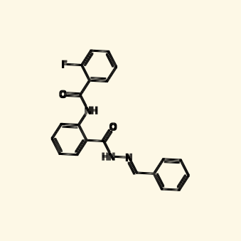 O=C(Nc1ccccc1C(=O)NN=Cc1ccccc1)c1ccccc1F